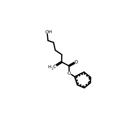 C=C(CCCCO)C(=O)Oc1ccccc1